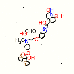 CN(CCCOc1ccc(CNC[C@H](O)c2ccc(O)c3[nH]c(=O)ccc23)cc1)[C@H]1CC[C@H](OC(=O)C(O)(c2cccs2)c2cccs2)CC1.O=CO